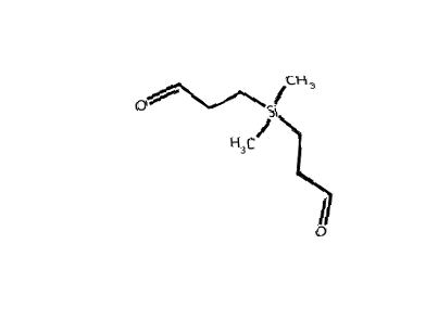 C[Si](C)(CCC=O)CCC=O